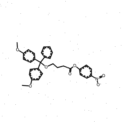 COc1ccc(C(OCCCC(=O)Oc2ccc([N+](=O)[O-])cc2)(c2ccccc2)c2ccc(OC)cc2)cc1